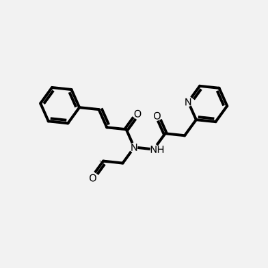 O=[C]CN(NC(=O)Cc1ccccn1)C(=O)C=Cc1ccccc1